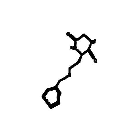 O=C1CNC(=O)[C@@H](CCOCc2ccccc2)N1